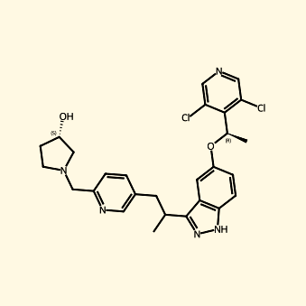 CC(Cc1ccc(CN2CC[C@H](O)C2)nc1)c1n[nH]c2ccc(O[C@H](C)c3c(Cl)cncc3Cl)cc12